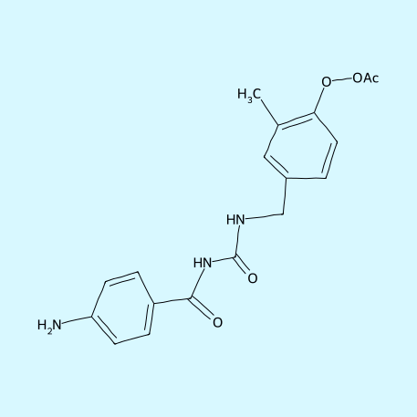 CC(=O)OOc1ccc(CNC(=O)NC(=O)c2ccc(N)cc2)cc1C